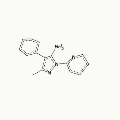 Cc1nn(-c2ccccn2)c(N)c1-c1ccccc1